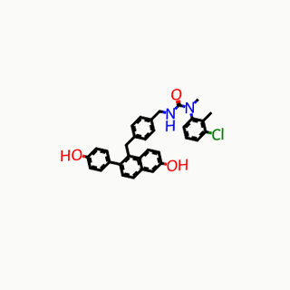 Cc1c(Cl)cccc1N(C)C(=O)NCc1ccc(Cc2c(-c3ccc(O)cc3)ccc3cc(O)ccc23)cc1